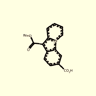 COC(=O)c1c2ccc(C(=O)O)cc2n2ccccc12